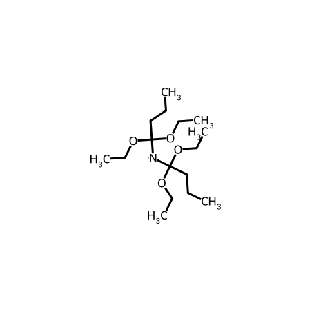 CCCC([N]C(CCC)(OCC)OCC)(OCC)OCC